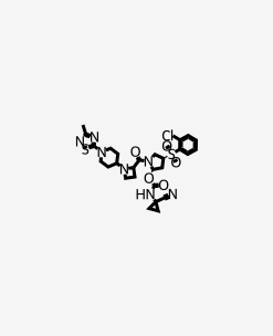 Cc1nsc(N2CCC(N3CCC3C(=O)N3C[C@H](S(=O)(=O)c4ccccc4Cl)C[C@@H]3OC(=O)NC3(C#N)CC3)CC2)n1